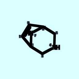 C1=CC2CNC[C]1N2